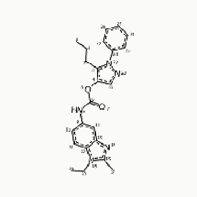 CCCc1c(OC(=O)Nc2ccc3c(c2)nc(C)n3CC)cnn1-c1ccccc1